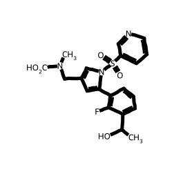 CC(O)c1cccc(-c2cc(CN(C)C(=O)O)cn2S(=O)(=O)c2cccnc2)c1F